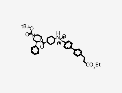 CCOC(=O)CCc1ccc(-c2ccc(S(=O)(=O)N[C@H]3CC[C@H](C(=O)N4CCN(C(=O)OC(C)(C)C)C[C@@H]4c4ccccc4)CC3)cc2)cc1